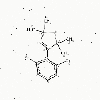 CCc1cccc(CC)c1[N+]1=CC(C)(C)CC1(C)C